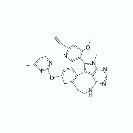 C#Cc1cc(OC)c(-c2c3c4c(ncnc4n2C)NCCc2cc(Oc4nccc(C)n4)ccc2-3)cn1